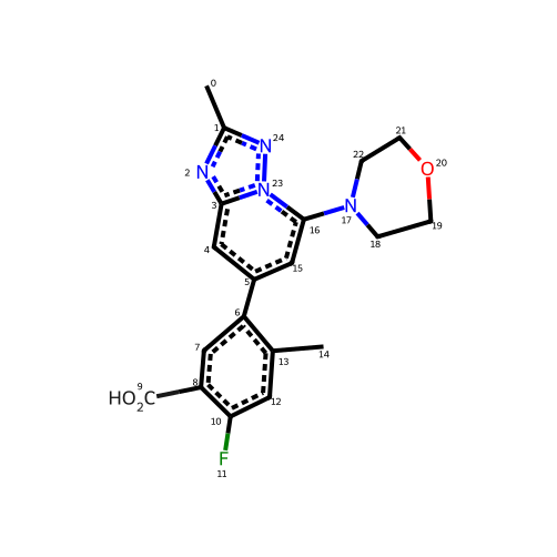 Cc1nc2cc(-c3cc(C(=O)O)c(F)cc3C)cc(N3CCOCC3)n2n1